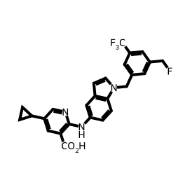 O=C(O)c1cc(C2CC2)cnc1Nc1ccc2c(ccn2Cc2cc(CF)cc(C(F)(F)F)c2)c1